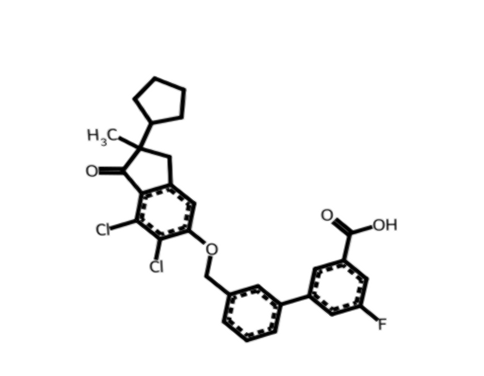 CC1(C2CCCC2)Cc2cc(OCc3cccc(-c4cc(F)cc(C(=O)O)c4)c3)c(Cl)c(Cl)c2C1=O